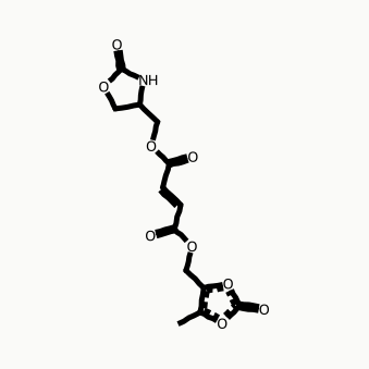 Cc1oc(=O)oc1COC(=O)/C=C/C(=O)OCC1COC(=O)N1